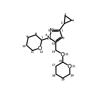 c1c(C2CC2)nn(C2CCCCO2)c1COC1CCCCO1